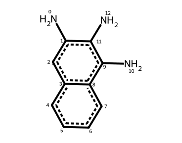 Nc1[c]c2ccccc2c(N)c1N